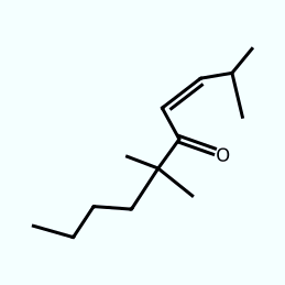 CCCCC(C)(C)C(=O)/C=C\C(C)C